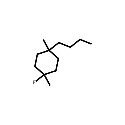 CCCCC1(C)CCC(C)(F)CC1